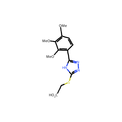 COc1ccc(-c2nnc(SCC(=O)O)[nH]2)c(OC)c1OC